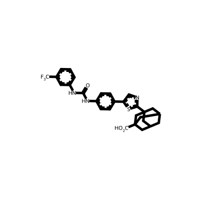 O=C(Nc1ccc(-c2cnc(C34CC5CC(CC(C(=O)O)(C5)C3)C4)s2)cc1)Nc1cccc(C(F)(F)F)c1